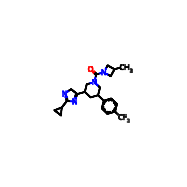 CC1CN(C(=O)N2CC(C3=NC(C4CC4)=NC3)CC(c3ccc(C(F)(F)F)cc3)C2)C1